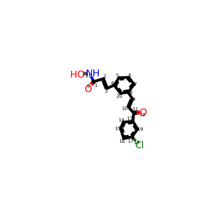 O=C(/C=C/c1cccc(/C=C/C(=O)c2cccc(Cl)c2)c1)NO